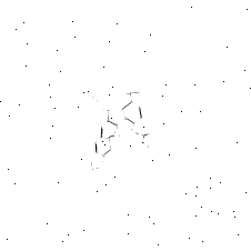 CCOC(=O)c1cc2cc3c(cc2nc1-c1cc(C(F)(F)F)ccc1NC(N)=O)OCO3